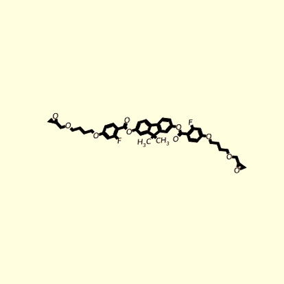 CC1(C)c2cc(OC(=O)c3ccc(OCCCCOCC4CO4)cc3F)ccc2-c2ccc(OC(=O)c3ccc(OCCCCOCC4CO4)cc3F)cc21